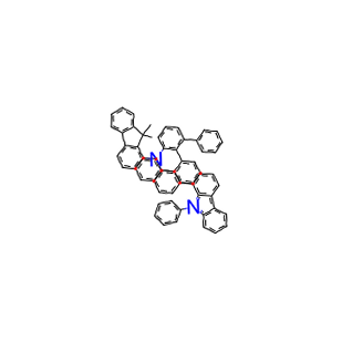 CC1(C)c2ccccc2-c2cccc(N(c3cccc(-c4cccc5c6ccccc6n(-c6ccccc6)c45)c3)c3cccc(-c4ccccc4)c3-c3ccccc3-c3ccccc3)c21